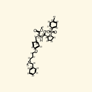 COC(=O)[C@H](Cc1ccc(OCCCN(C)Cc2ccccc2)cc1)NC(=O)[C@@H]1CCCN1S(=O)(=O)c1ccc(C)cc1